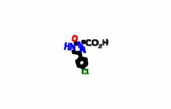 O=C(O)CN1N=C(c2ccc(Cl)cc2)CNC1=O